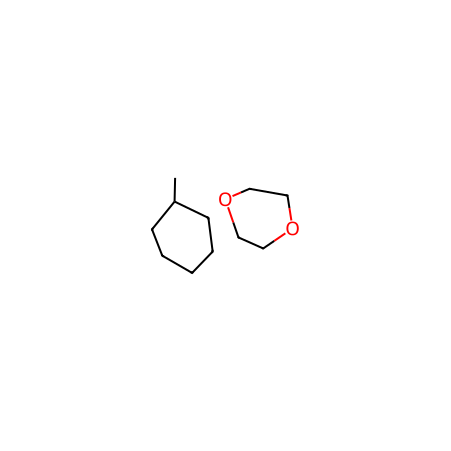 C1COCCO1.CC1CCCCC1